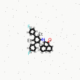 CCc1c(N=C2C(=O)c3cccc4cccc2c34)c(C)c(-c2ccc(F)cc2)c(CC)c1-c1ccc(F)cc1